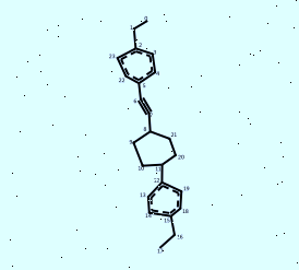 CCc1ccc(C#CC2CCC(c3ccc(CC)cc3)CC2)cc1